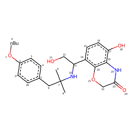 CCCCOc1ccc(CC(C)(C)NC(CO)c2ccc(O)c3c2OCC(=O)N3)cc1